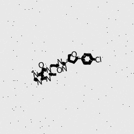 Cc1nc2ncn(C)c2c(=O)n1Cc1nc([C@@H]2CO[C@@H](c3ccc(Cl)cc3)C2)no1